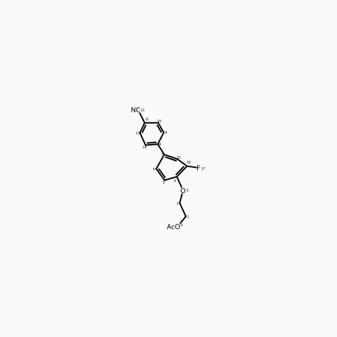 CC(=O)OCCOc1ccc(-c2ccc(C#N)cc2)cc1F